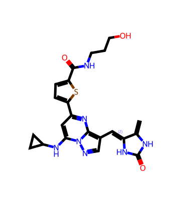 C=c1[nH]c(=O)[nH]/c1=C\c1cnn2c(NC3CC3)cc(-c3ccc(C(=O)NCCCO)s3)nc12